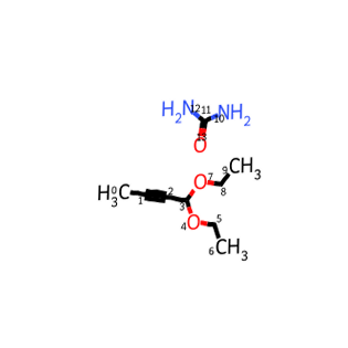 CC#CC(OCC)OCC.NC(N)=O